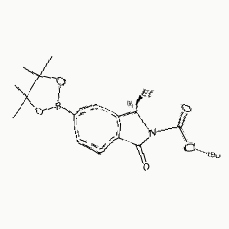 CC[C@@H]1c2cc(B3OC(C)(C)C(C)(C)O3)ccc2C(=O)N1C(=O)OC(C)(C)C